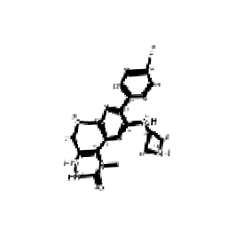 CN1C(=O)NNC2=C1c1cc([AsH]C3CNC3)c(-c3ccc(F)cc3)cc1OC2